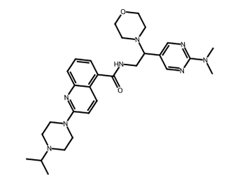 CC(C)N1CCN(c2ccc3c(C(=O)NCC(c4cnc(N(C)C)nc4)N4CCOCC4)cccc3n2)CC1